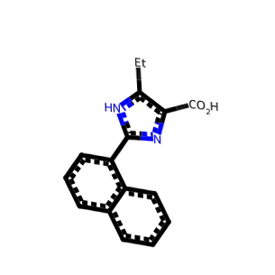 CCc1[nH]c(-c2cccc3ccccc23)nc1C(=O)O